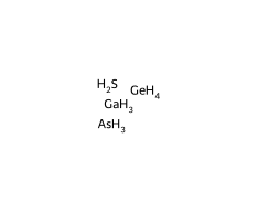 S.[AsH3].[GaH3].[GeH4]